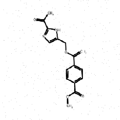 C=C(OCc1cnc(C(C)=O)[nH]1)c1ccc(C(=O)OC)cc1